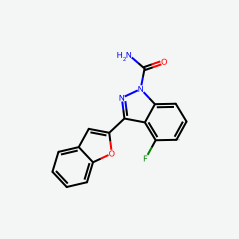 NC(=O)n1nc(-c2cc3ccccc3o2)c2c(F)[c]ccc21